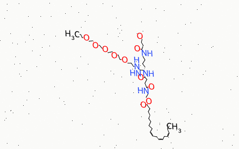 CC/C=C\C/C=C\C/C=C\CCCCCCCC(=O)OCCNC(=O)CCC(=O)N[C@@H](CCCCNC(=O)CCC=O)C(=N)NCCCOCCOCCOCCOCCOCCC